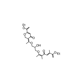 C=C(OCC)C1=CC(=O)/C(=C(/C)OCC(O)CO/C(C)=C(/C)C(=O)/C=C(\C)C(=C)OCC)CO1